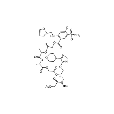 CC(=O)OCC(=O)N(C[C@@H](COc1nsnc1N1CCOCC1)OC(=O)COC(=O)C(C)OC(=O)C(C)OC(=O)COC(=O)c1cc(S(N)(=O)=O)c(Cl)cc1NCc1ccco1)C(C)(C)C